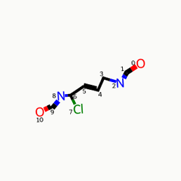 O=C=NCC=CC(Cl)N=C=O